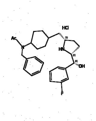 CC(=O)N(Cc1ccccc1)C1CCC(C[C@@H]2CC[C@H]([C@H](O)c3cccc(F)c3)N2)CC1.Cl